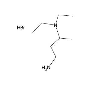 Br.CCN(CC)C(C)CCN